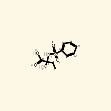 CCC(N)(NS(=O)(=O)c1ccccc1)C(=O)O